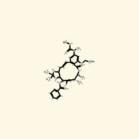 COCOc1cc(N(C)C(=O)OC(C)(C)C)cc2c1C(=O)O[C@@H](C)[C@H](C)/C=C(/F)C(OC(=O)c1ccccc1)C1OC(C)(C)OC1C/C=C/2